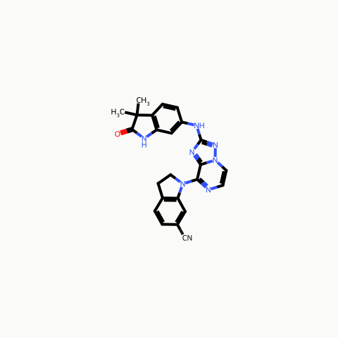 CC1(C)C(=O)Nc2cc(Nc3nc4c(N5CCc6ccc(C#N)cc65)nccn4n3)ccc21